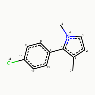 Cc1c[c]n(C)c1-c1ccc(Cl)cc1